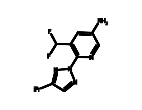 CC(C)c1cnn(-c2ncc(N)cc2C(F)F)n1